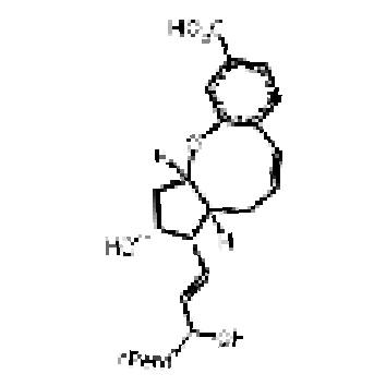 CCCCC[C@H](O)/C=C/[C@@H]1[C@H]2C/C=C\c3ccc(C(=O)O)cc3O[C@H]2C[C@H]1O